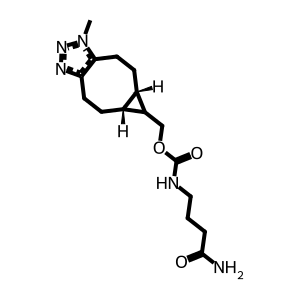 Cn1nnc2c1CC[C@@H]1C(COC(=O)NCCCC(N)=O)[C@@H]1CC2